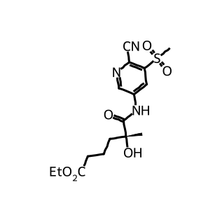 CCOC(=O)CCC[C@@](C)(O)C(=O)Nc1cnc(C#N)c(S(C)(=O)=O)c1